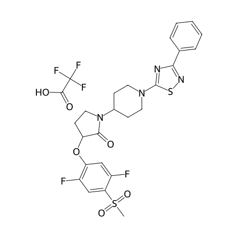 CS(=O)(=O)c1cc(F)c(OC2CCN(C3CCN(c4nc(-c5ccccc5)ns4)CC3)C2=O)cc1F.O=C(O)C(F)(F)F